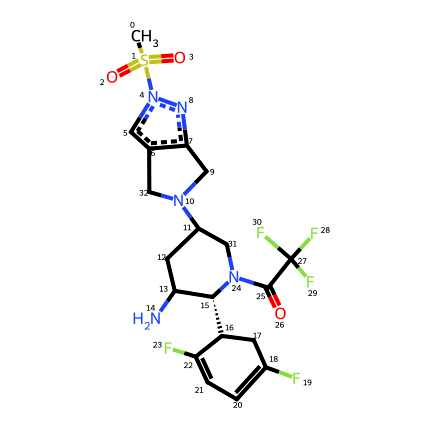 CS(=O)(=O)n1cc2c(n1)CN(C1CC(N)[C@@H](C3CC(F)=CC=C3F)N(C(=O)C(F)(F)F)C1)C2